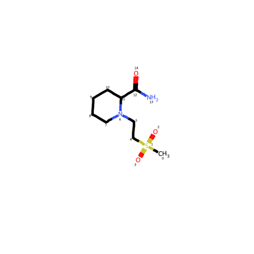 CS(=O)(=O)CCN1CCCCC1C(N)=O